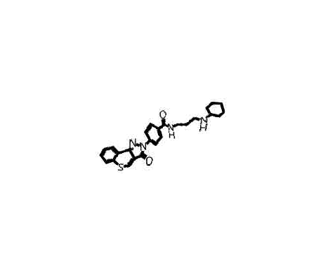 O=C(NCCCNC1CCCCC1)c1ccc(-n2nc3c4ccccc4scc-3c2=O)cc1